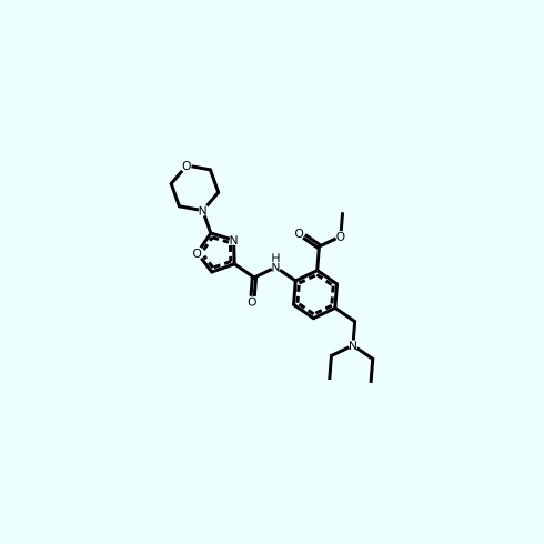 CCN(CC)Cc1ccc(NC(=O)c2coc(N3CCOCC3)n2)c(C(=O)OC)c1